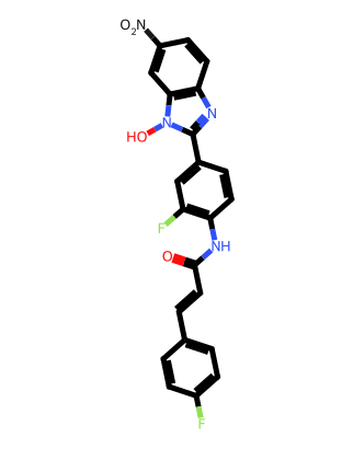 O=C(C=Cc1ccc(F)cc1)Nc1ccc(-c2nc3ccc([N+](=O)[O-])cc3n2O)cc1F